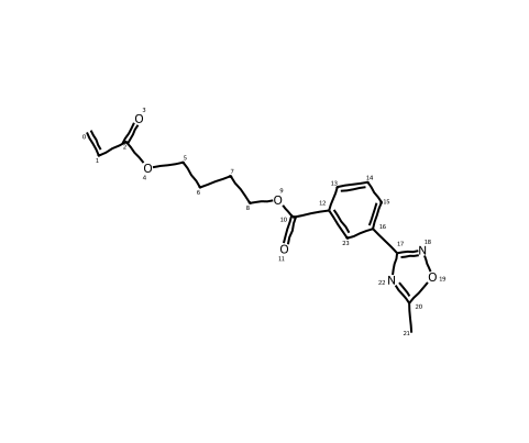 C=CC(=O)OCCCCOC(=O)c1cccc(-c2noc(C)n2)c1